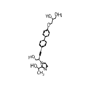 CC(O)c1nccn1C(C#Cc1ccc(-c2ccc(OCC(O)CO)cc2)cc1)CO